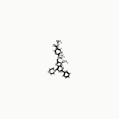 CN(Cc1nc2c(N3CCOCC3)nc(-c3ccccc3)nc2n1C)c1ncc(C(=O)ON)cn1